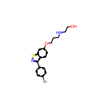 OCCNCCCOc1ccc2c(-c3ccc(Br)cc3)nsc2c1